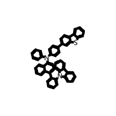 c1ccc(N(c2ccc(-c3ccc4c(c3)sc3ccccc34)cc2)c2ccc(-c3ccccc3-n3c4ccccc4c4ccccc43)c3ccccc23)cc1